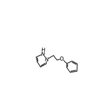 C1=CNN(CCOc2ccccc2)C=C1